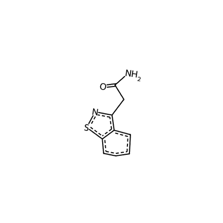 NC(=O)Cc1nsc2ccccc12